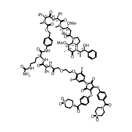 CCC(C)[C@@H]([C@@H](CC(=O)N1CCC[C@H]1[C@H](OC)[C@@H](C)C(=O)N[C@H](C)[C@@H](O)c1ccccc1)OC)N(C)C(=O)[C@@H](NC(=O)[C@H](C(C)C)N(C)C(=O)OCc1ccc(NC(=O)[C@H](CCCNC(N)=O)NC(=O)[C@@H](NC(=O)COCCOc2c(F)cc(N3C(=O)C(Sc4ccc(C(=O)N5CCS(=O)(=O)CC5)cc4)=C(Sc4ccc(C(=O)N5CCS(=O)(=O)CC5)cc4)C3=O)cc2F)C(C)C)cc1)C(C)C